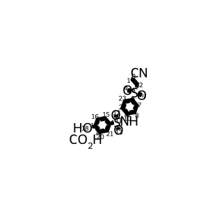 N#CC=CS(=O)(=O)c1ccc(NS(=O)(=O)c2ccc(O)c(C(=O)O)c2)cc1